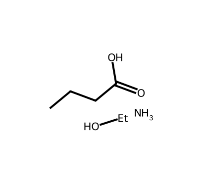 CCCC(=O)O.CCO.N